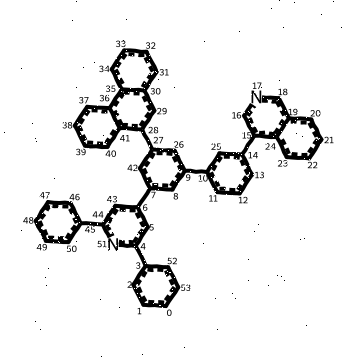 c1ccc(-c2cc(-c3cc(-c4cccc(-c5cncc6ccccc56)c4)cc(-c4cc5ccccc5c5ccccc45)c3)cc(-c3ccccc3)n2)cc1